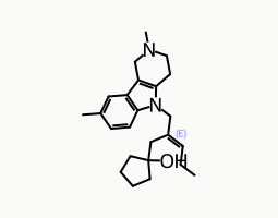 CC/C=C(/Cn1c2c(c3cc(C)ccc31)CN(C)CC2)CC1(O)CCCC1